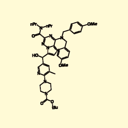 CCCN(CCC)C(=O)c1nc(N(Cc2ccc(OC)cc2)Cc2ccc(OC)cc2)c2ncc(C(O)c3cnc(N4CCN(C(=O)OC(C)(C)C)CC4)c(C)c3)n2n1